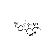 CC(O)C(O)C(O)C(CO)c1ccc(CO)cc1NI